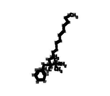 CCCCCCCCCCCCC(C)(Cc1ccccc1)C(C)(C)N